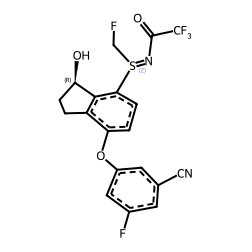 N#Cc1cc(F)cc(Oc2ccc(/S(CF)=N/C(=O)C(F)(F)F)c3c2CC[C@H]3O)c1